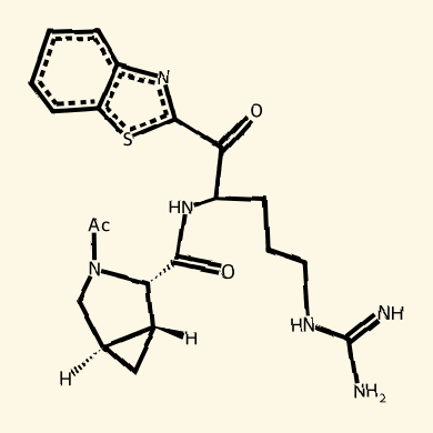 CC(=O)N1C[C@@H]2C[C@H]2[C@H]1C(=O)NC(CCCNC(=N)N)C(=O)c1nc2ccccc2s1